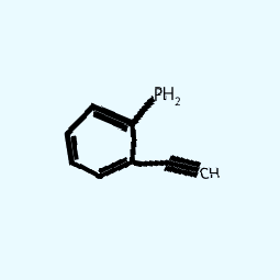 C#Cc1ccccc1P